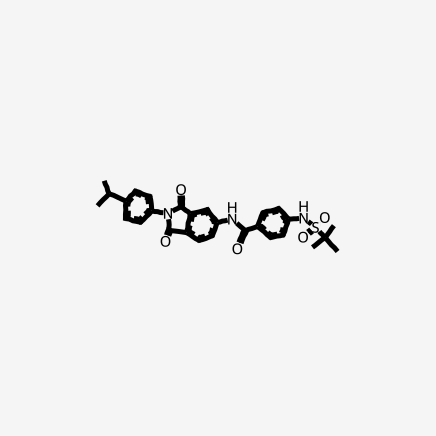 CC(C)c1ccc(N2C(=O)c3ccc(NC(=O)c4ccc(NS(=O)(=O)C(C)(C)C)cc4)cc3C2=O)cc1